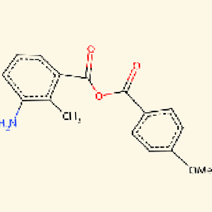 COc1ccc(C(=O)OC(=O)c2cccc(N)c2C)cc1